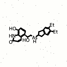 CCc1cc2c(cc1CC)CC([AsH]C[C@H](O)c1ccc(O)c3[nH]c(=O)ccc13)C2